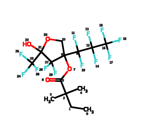 CCC(C)(C)C(=O)OC1(C(F)(F)C(F)(F)C(F)(F)F)COC(O)(C(F)(F)F)C1(F)F